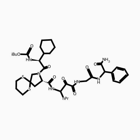 CCCC(NC(=O)[C@@H]1CC2(CN1C(=O)[C@@H](NC(=O)OCC(C)C)C1CCCCC1)SCCCS2)C(=O)C(=O)NCC(=O)NC(C(N)=O)c1ccccc1